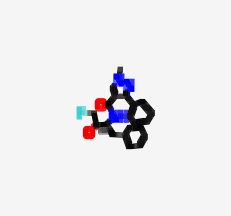 Cn1cc(C(=O)N[C@@H](Cc2ccccc2)C(=O)CF)c(-c2ccccc2)n1